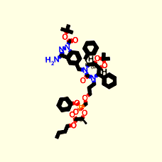 CCCCOC(=O)[C@H](C)OP(=O)(COCCCN1C(=O)N(Cc2ccc3c(c2)c(N)nn3C(=O)OC(C)(C)C)[C@H](Cc2ccccc2)[C@@H]2OC(C)(C)O[C@H]2C1c1ccccc1)Oc1ccccc1